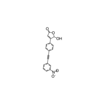 O=C1C=C(c2ccc(C#Cc3cccc([N+](=O)[O-])c3)cc2)C(O)O1